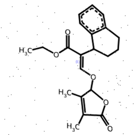 CCOC(=O)/C(=C/OC1OC(=O)C(C)=C1C)C1CCCc2ccccc21